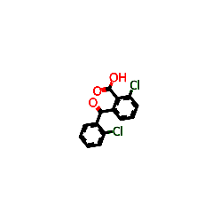 O=C(c1ccccc1Cl)c1cccc(Cl)c1C(=O)O